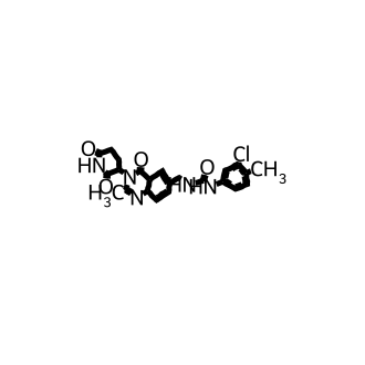 CC1=NC2C=CC(CNC(=O)Nc3ccc(C)c(Cl)c3)=CC2C(=O)N1C1CCC(=O)NC1=O